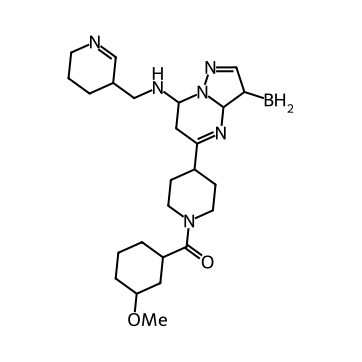 BC1C=NN2C(NCC3C=NCCC3)CC(C3CCN(C(=O)C4CCCC(OC)C4)CC3)=NC12